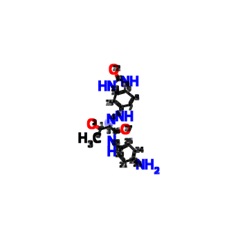 CC(=O)/C(=N/Nc1ccc2[nH]c(=O)[nH]c2c1)C(=O)Nc1ccc(N)cc1